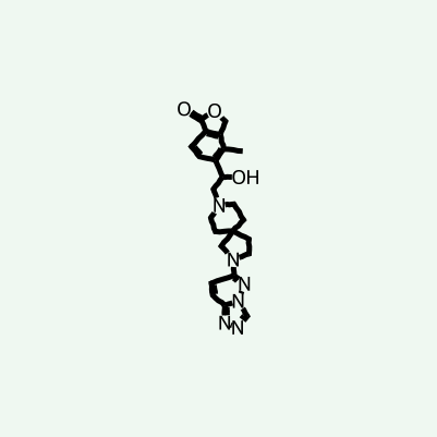 Cc1c(C(O)CN2CCC3(CC2)CCN(c2ccc4nncn4n2)C3)ccc2c1COC2=O